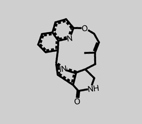 C/C1=C\COc2ccc3cccc(c3n2)-c2cc3c([nH]2)C(CNC3=O)C1